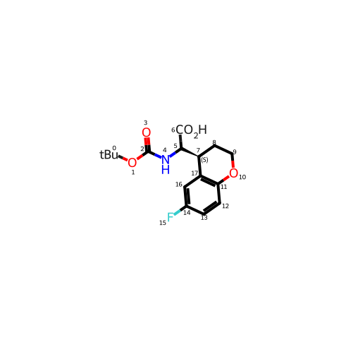 CC(C)(C)OC(=O)NC(C(=O)O)[C@H]1CCOc2ccc(F)cc21